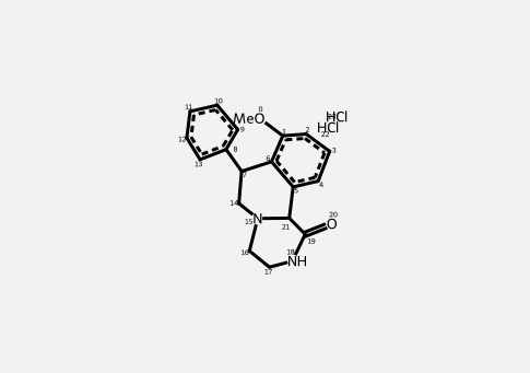 COc1cccc2c1C(c1ccccc1)CN1CCNC(=O)C21.Cl.Cl